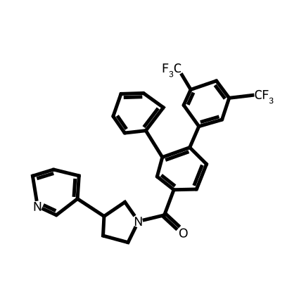 O=C(c1ccc(-c2cc(C(F)(F)F)cc(C(F)(F)F)c2)c(-c2ccccc2)c1)N1CCC(c2cccnc2)C1